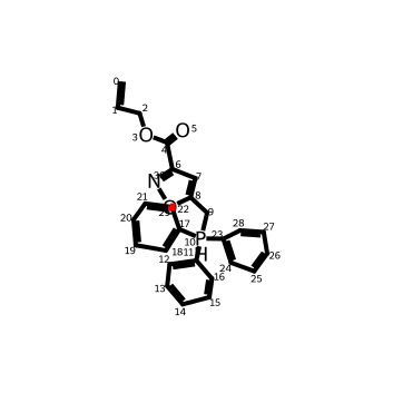 C=CCOC(=O)c1cc(C[PH](c2ccccc2)(c2ccccc2)c2ccccc2)on1